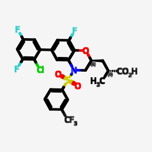 C[C@H](C[C@H]1CN(S(=O)(=O)c2cccc(C(F)(F)F)c2)c2cc(-c3cc(F)cc(F)c3Cl)cc(F)c2O1)C(=O)O